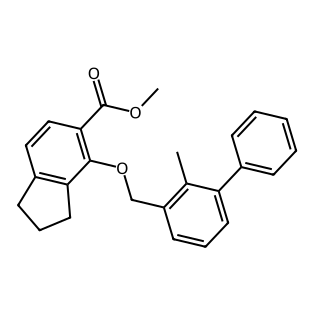 COC(=O)c1ccc2c(c1OCc1cccc(-c3ccccc3)c1C)CCC2